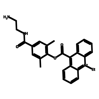 CC[n+]1c2ccccc2c(C(=O)Oc2c(C)cc(C(=O)NCCN)cc2C)c2ccccc21